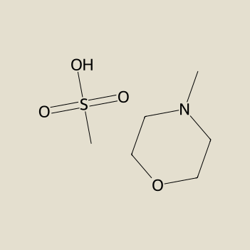 CN1CCOCC1.CS(=O)(=O)O